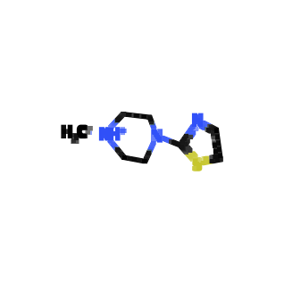 [CH2-][NH+]1CCN(c2nccs2)CC1